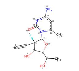 C#C[C@@]1(F)C(O)[C@@H]([C@@H](C)O)O[C@H]1n1c(C)cc(N)nc1=O